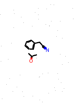 CC(C)=O.N#CCc1ccccc1